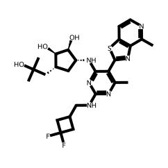 Cc1nc(NCC2CC(F)(F)C2)nc(N[C@@H]2C[C@H](CC(C)(C)O)[C@@H](O)[C@H]2O)c1-c1nc2c(C)nccc2s1